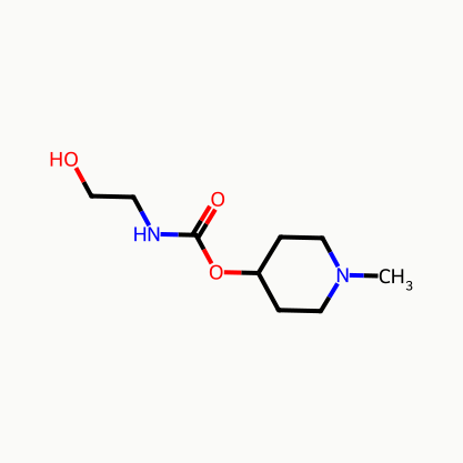 CN1CCC(OC(=O)NCCO)CC1